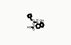 O=C(O)O[C@H]1CCc2cccc(O)c2C1NC(=O)OCc1ccccc1